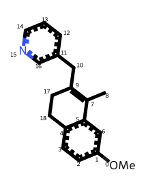 COc1ccc2c(c1)C(C)=C(Cc1cccnc1)CC2